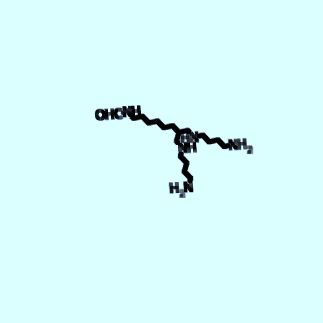 NCCCCNCC(CCCCCCNC=O)CNCCCCN